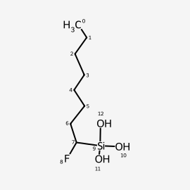 CCCCCCCC(F)[Si](O)(O)O